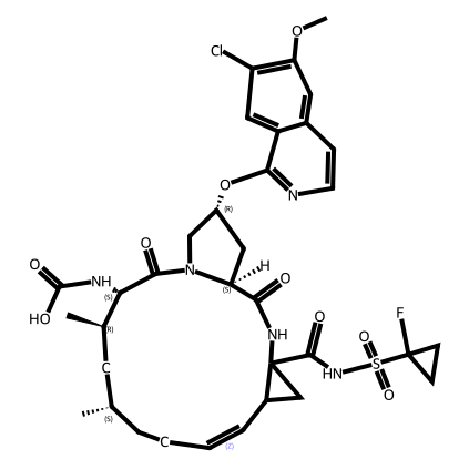 COc1cc2ccnc(O[C@@H]3C[C@H]4C(=O)NC5(C(=O)NS(=O)(=O)C6(F)CC6)CC5/C=C\CC[C@H](C)C[C@@H](C)[C@H](NC(=O)O)C(=O)N4C3)c2cc1Cl